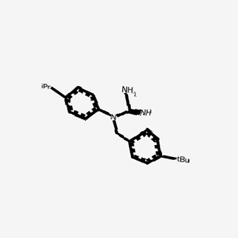 CC(C)c1ccc(N(Cc2ccc(C(C)(C)C)cc2)C(=N)N)cc1